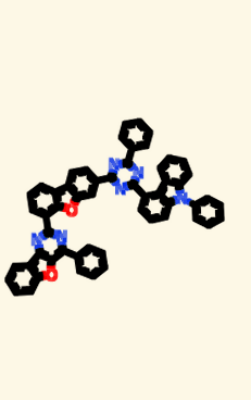 c1ccc(-c2nc(-c3ccc4c(c3)oc3c(-c5nc(-c6ccccc6)c6oc7ccccc7c6n5)cccc34)nc(-c3cccc4c3c3ccccc3n4-c3ccccc3)n2)cc1